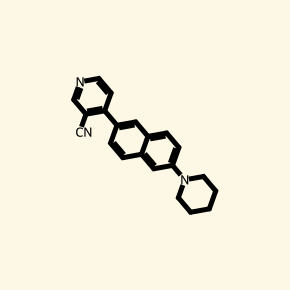 N#Cc1cnccc1-c1ccc2cc(N3CCCCC3)ccc2c1